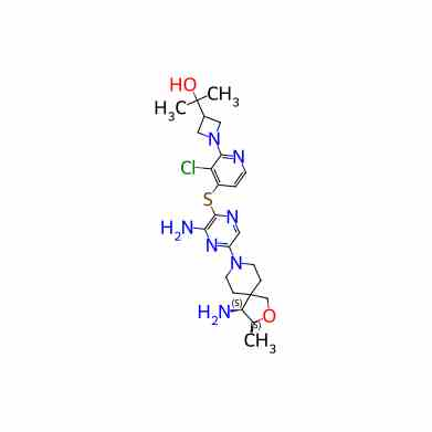 C[C@@H]1OCC2(CCN(c3cnc(Sc4ccnc(N5CC(C(C)(C)O)C5)c4Cl)c(N)n3)CC2)[C@@H]1N